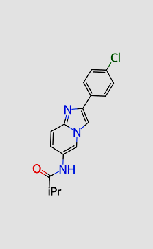 CC(C)C(=O)Nc1ccc2nc(-c3ccc(Cl)cc3)cn2c1